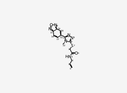 C=CCNC(=O)CSc1nnc(-c2ccc3nonc3c2)n1C